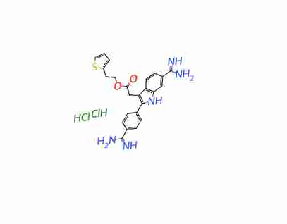 Cl.Cl.N=C(N)c1ccc(-c2[nH]c3cc(C(=N)N)ccc3c2CC(=O)OCCc2cccs2)cc1